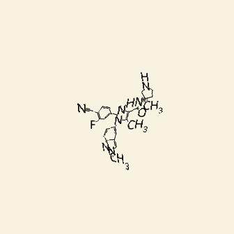 Cc1c(C(=O)N[C@]2(C)CCNC2)nc(-c2ccc(C#N)c(F)c2)n1-c1ccc2nn(C)cc2c1